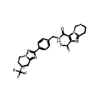 O=C(NCc1ccc(-c2nc3n(n2)CC[C@H](C(F)(F)F)C3)cc1)c1c(C(F)F)nc2n1CCCC2